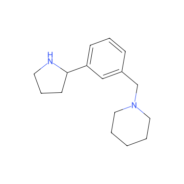 c1cc(CN2CCCCC2)cc(C2CCCN2)c1